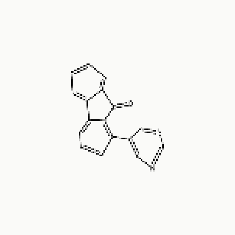 O=C1c2ccccc2-c2cccc(-c3cncnc3)c21